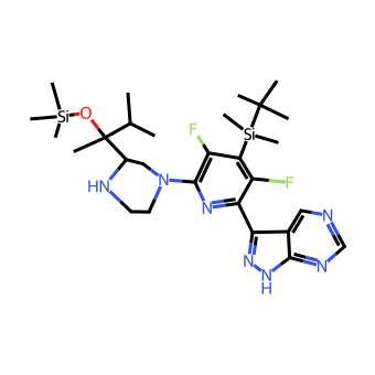 CC(C)C(C)(O[Si](C)(C)C)C1CN(c2nc(-c3n[nH]c4ncncc34)c(F)c([Si](C)(C)C(C)(C)C)c2F)CCN1